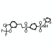 O=S(=O)(CCc1ccc(Cl)c(OC(F)(F)F)c1)c1ccc(S(=O)(=O)Nc2nccs2)cc1